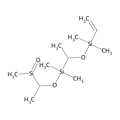 C=C[Si](C)(C)OC(C)[Si](C)(C)OC(C)[Si](C)=O